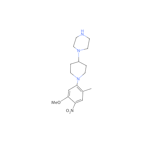 COc1cc(N2CCC(N3CCNCC3)CC2)c(C)cc1[N+](=O)[O-]